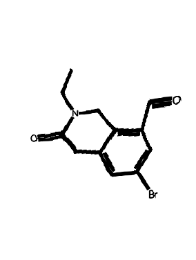 CCN1Cc2c(C=O)cc(Br)cc2CC1=O